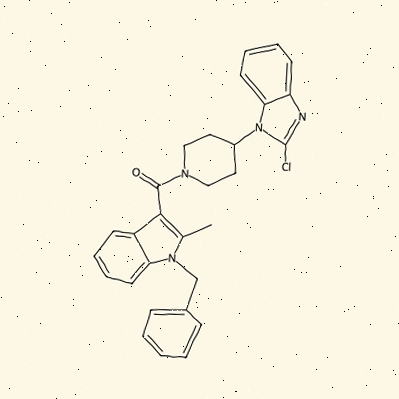 Cc1c(C(=O)N2CCC(n3c(Cl)nc4ccccc43)CC2)c2ccccc2n1Cc1ccccc1